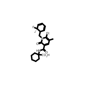 CCc1c(C)cc(C(=O)NC2(C(=O)O)CCCCC2)c(=O)n1CC1C=CC=C[C@]1(C)F